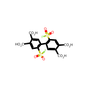 O=C(O)c1cc(-c2cc(C(=O)O)c(C(=O)O)cc2S(=O)(=O)F)c(S(=O)(=O)F)cc1C(=O)O